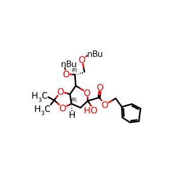 CCCCOC[C@@H](OCCCC)C1OC(O)(C(=O)OCc2ccccc2)C[C@H]2OC(C)(C)OC12